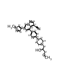 COCC(O)CN1CCN(c2ccc(-c3cc(-c4cnn(C)c4)cn4ncc(C#N)c34)cn2)CC1